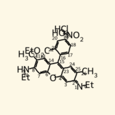 CC/N=c1/cc2oc3cc(NCC)c(C)cc3c(-c3ccccc3C(=O)OCC)c-2cc1C.Cl.O=[N+]([O-])O